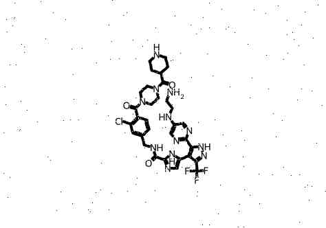 NCCNc1cnc(-c2[nH]nc(C(F)(F)F)c2-c2cnc(C(=O)NCc3ccc(C(=O)N4CCN(C(=O)C5CCNCC5)CC4)c(Cl)c3)[nH]2)nc1